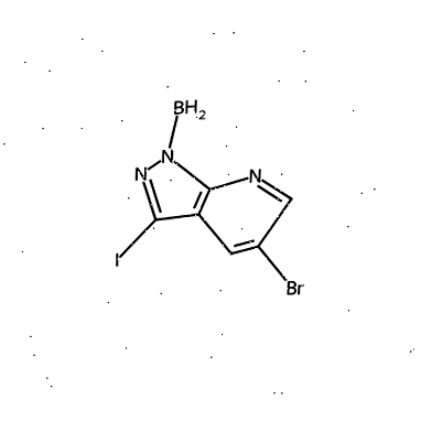 Bn1nc(I)c2cc(Br)cnc21